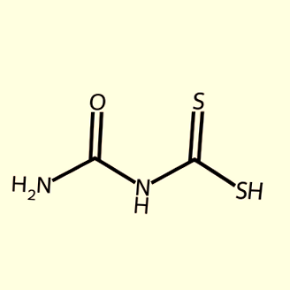 NC(=O)NC(=S)S